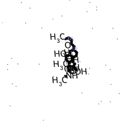 CC/C=C\C(=O)/C=C1/CC[C@@H]2[C@@H](C1)[C@@H](O)C[C@@]1(C)[C@H]2C[C@H]2OC(NCC)O[C@]21C(=O)CO